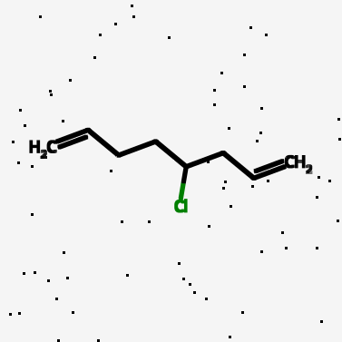 C=CCCC(Cl)CC=C